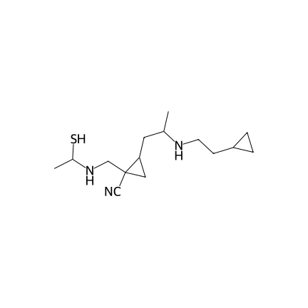 CC(S)NCC1(C#N)CC1CC(C)NCCC1CC1